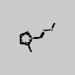 CON=Cn1cccc1C